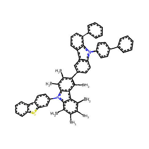 Bc1c(B)c(B)c2c(c1B)c1c(B)c(-c3ccc4c(c3)c3cccc(-c5ccccc5)c3n4-c3ccc(-c4ccccc4)cc3)c(B)c(B)c1n2-c1ccc2c(c1)sc1ccccc12